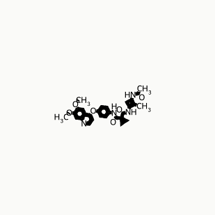 COc1cc2nccc(Oc3ccc(NC(=O)C4(C(=O)NC56CC(NC(C)=O)(C5)C6C)CC4)cc3)c2cc1OC